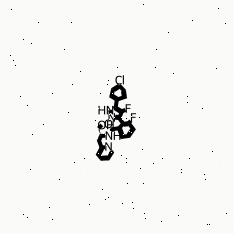 O=C(N[C@@H](CO)Cc1ccccn1)c1cccc(F)c1-c1n[nH]c(-c2ccc(Cl)cc2)c1F